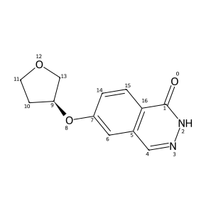 O=c1[nH]ncc2cc(O[C@H]3CCOC3)ccc12